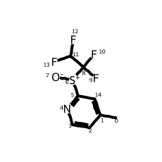 Cc1ccnc([S+]([O-])C(F)(F)C(F)F)c1